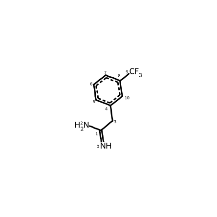 N=C(N)Cc1cccc(C(F)(F)F)c1